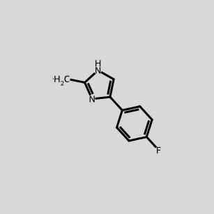 [CH2]c1nc(-c2ccc(F)cc2)c[nH]1